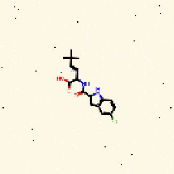 CC(C)(C)/C=C/C(NC(=O)c1cc2cc(Cl)ccc2[nH]1)C(=O)O